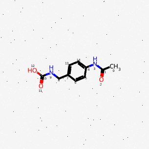 CC(=O)Nc1ccc(CNC(=O)O)cc1